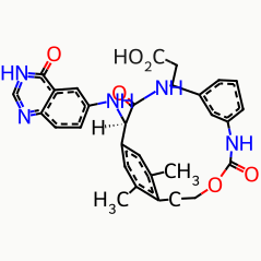 Cc1cc2cc(C)c1CCOC(=O)Nc1cccc(c1)C(CC(=O)O)NC(=O)[C@@H]2Nc1ccc2nc[nH]c(=O)c2c1